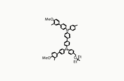 CCC(C)(CC)OCc1ccc(N(c2ccc(-c3ccc(N(c4ccc(C)cc4)c4ccc(-c5ccc(OC)c(C)c5)cc4)cc3)cc2)c2ccc(-c3ccc(OC)c(C)c3)cc2)cc1